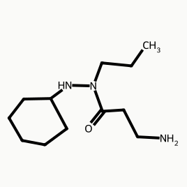 CCCN(NC1CCCCC1)C(=O)CCN